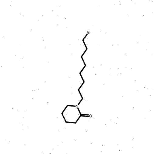 O=C1CCCCN1CCCCCCCCBr